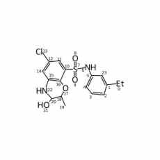 CCc1cccc(NS(=O)(=O)c2cc(Cl)cc3c2OC(C)C(O)N3)c1